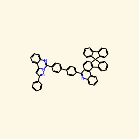 c1ccc(-c2cc3c4ccccc4nc(-c4ccc(-c5ccc(-c6nc7ccccc7c7c8c(ccc67)C6(c7ccccc7-c7ccccc76)c6ccccc6-8)cc5)cc4)n3n2)cc1